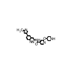 Cn1cc(-c2ccc3nnc(NC(=O)c4ccnc(OC5CCNCC5)c4)cc3c2)cn1